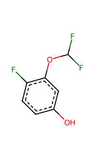 Oc1ccc(F)c(OC(F)F)c1